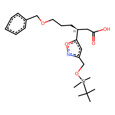 CC(C)(C)[Si](C)(C)OCc1cc([C@@H](CCCOCc2ccccc2)CC(=O)O)on1